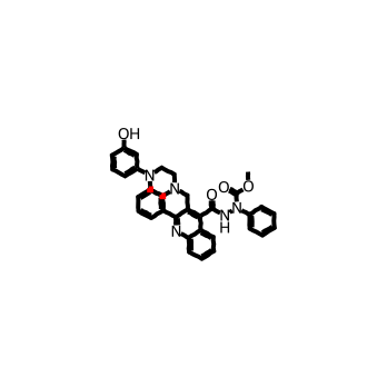 COC(=O)N(NC(=O)c1c(CN2CCN(c3cccc(O)c3)CC2)c(-c2ccccc2)nc2ccccc12)c1ccccc1